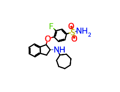 NS(=O)(=O)c1ccc(O[C@@H]2c3ccccc3C[C@H]2NC2CCCCCC2)c(F)c1